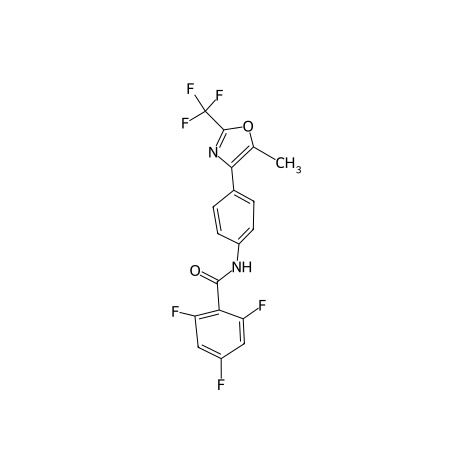 Cc1oc(C(F)(F)F)nc1-c1ccc(NC(=O)c2c(F)cc(F)cc2F)cc1